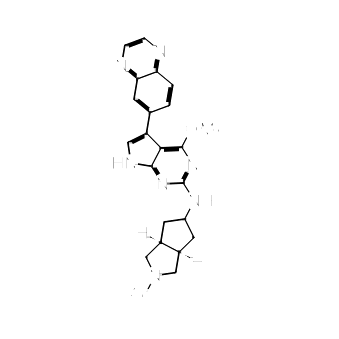 COc1nc(NC2C[C@@H]3CN(C(C)=O)C[C@@H]3C2)nc2[nH]cc(-c3ccc4nccnc4c3)c12